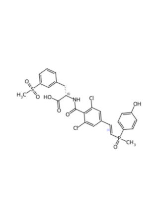 CP(=O)(/C=C/c1cc(Cl)c(C(=O)N[C@@H](Cc2cccc(S(C)(=O)=O)c2)C(=O)O)c(Cl)c1)c1ccc(O)cc1